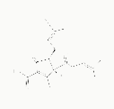 CCC(C)C(=O)C1=C(C)[C@@](O)(C(=O)CC=C(C)C)[C@H](CC=C(C)C)C1=O